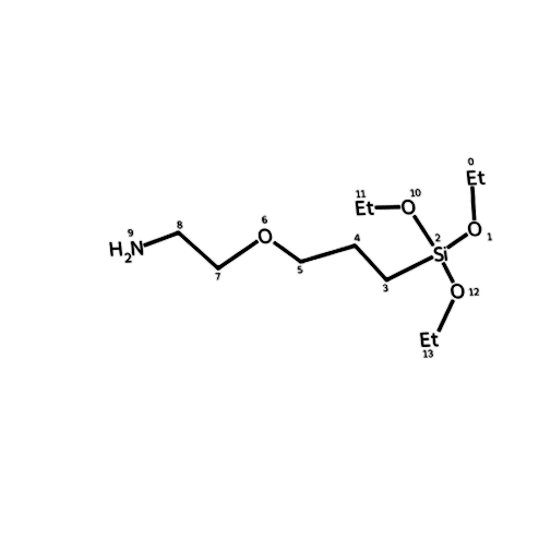 CCO[Si](CCCOCCN)(OCC)OCC